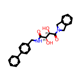 O=C(NCc1ccc(-c2ccccc2)cc1)[C@H](O)[C@@H](O)C(=O)N1Cc2ccccc2C1